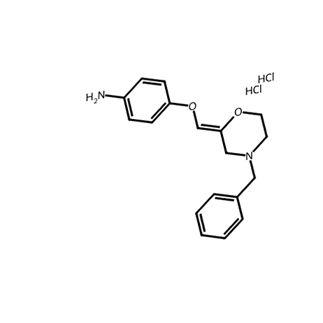 Cl.Cl.Nc1ccc(OC=C2CN(Cc3ccccc3)CCO2)cc1